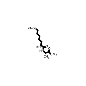 CCCCCCCCCCCCCCCC(=O)N[C@@H](C)C(=O)OC.[KH]